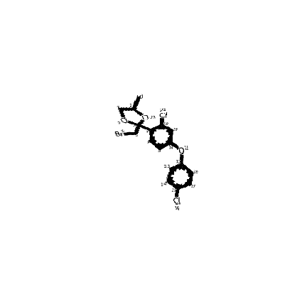 CC1COC(CBr)(c2ccc(Oc3ccc(Cl)cc3)cc2Cl)O1